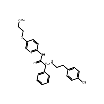 COCCOc1ccc(NC(=O)[C@H](NCCc2ccc(C#N)cc2)c2ccccc2)nc1